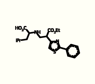 CCOC(=O)C(CNC(CC(C)C)C(=O)O)c1csc(-c2ccccc2)n1